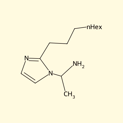 CCCCCCCCCc1nccn1C(C)N